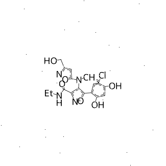 CCNC(=O)c1noc(-c2cc(Cl)c(O)cc2O)c1N(C)c1cc(CO)no1